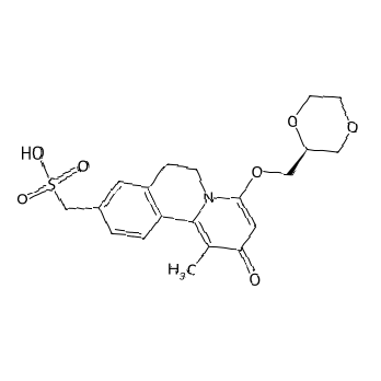 Cc1c2n(c(OC[C@@H]3COCCO3)cc1=O)CCc1cc(CS(=O)(=O)O)ccc1-2